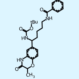 CC1Oc2ccc(C(CCCCNC(=O)c3ccccc3)NC(=O)OC(C)(C)C)cc2NC1=O